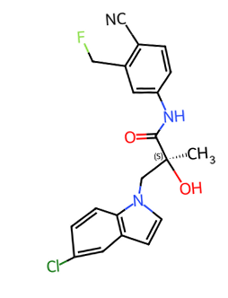 C[C@](O)(Cn1ccc2cc(Cl)ccc21)C(=O)Nc1ccc(C#N)c(CF)c1